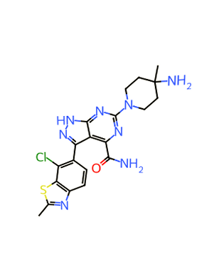 Cc1nc2ccc(-c3n[nH]c4nc(N5CCC(C)(N)CC5)nc(C(N)=O)c34)c(Cl)c2s1